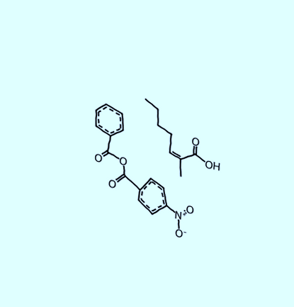 CCCCC=C(C)C(=O)O.O=C(OC(=O)c1ccc([N+](=O)[O-])cc1)c1ccccc1